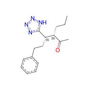 CCC[C@H](C(C)=O)[C@H](CCc1ccccc1)c1nnn[nH]1